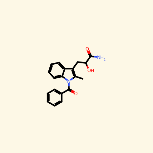 Cc1c(CC(O)C(N)=O)c2ccccc2n1C(=O)c1ccccc1